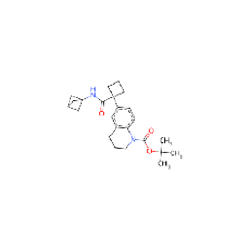 CC(C)(C)OC(=O)N1CCCc2cc(C3(C(=O)NC45CC(C4)C5)CCC3)ccc21